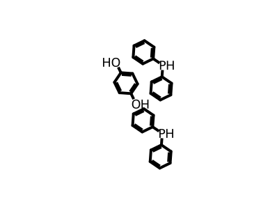 Oc1ccc(O)cc1.c1ccc(Pc2ccccc2)cc1.c1ccc(Pc2ccccc2)cc1